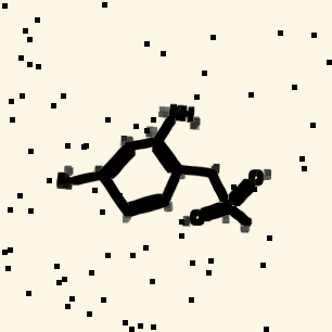 CS(=O)(=O)Cc1ccc(Br)cc1N